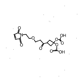 O=C(O)OC1(OC(=O)O)CC(C(=O)CCOCCN2C(=O)C=CC2=O)C1